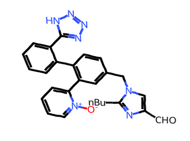 CCCCc1nc(C=O)cn1Cc1ccc(-c2ccccc2-c2nnn[nH]2)c(-c2cccc[n+]2[O-])c1